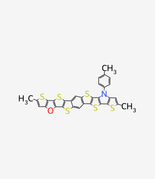 Cc1ccc(-n2c3cc(C)sc3c3sc4c5cc6sc7c8oc9cc(C)sc9c8sc7c6cc5sc4c32)cc1